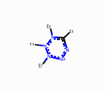 CCc1n[nH]n(CC)n(CC)n1CC